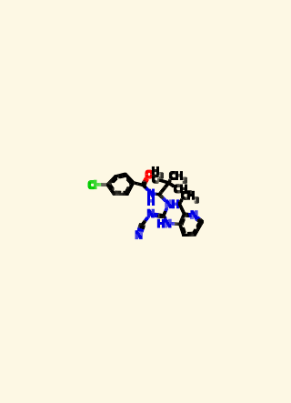 CCc1ncccc1N/C(=N\C#N)NC(NC(=O)c1ccc(Cl)cc1)C(C)(C)C